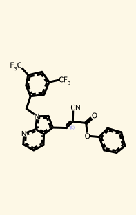 N#C/C(=C\c1cn(Cc2cc(C(F)(F)F)cc(C(F)(F)F)c2)c2ncccc12)C(=O)Oc1ccccc1